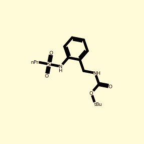 CCCS(=O)(=O)Nc1ccccc1CNC(=O)OC(C)(C)C